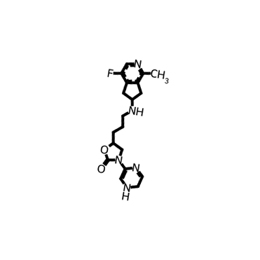 Cc1ncc(F)c2c1CC(NCCCC1CN(C3=CNCC=N3)C(=O)O1)C2